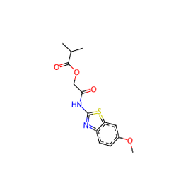 COc1ccc2nc(NC(=O)COC(=O)C(C)C)sc2c1